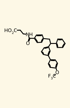 O=C(O)CCNC(=O)c1ccc(CC(c2ccccc2)c2cccc(-c3ccc(OC(F)(F)F)cc3)c2)cc1